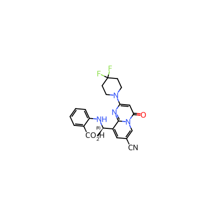 C[C@@H](Nc1ccccc1C(=O)O)c1cc(C#N)cn2c(=O)cc(N3CCC(F)(F)CC3)nc12